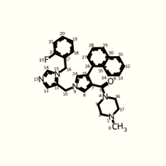 CN1CCN(C(=O)c2cn(Cc3cncn3Cc3ccccc3F)cc2-c2cccc3ccccc23)CC1